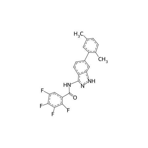 Cc1ccc(C)c(-c2ccc3c(NC(=O)c4cc(F)c(F)c(F)c4F)n[nH]c3c2)c1